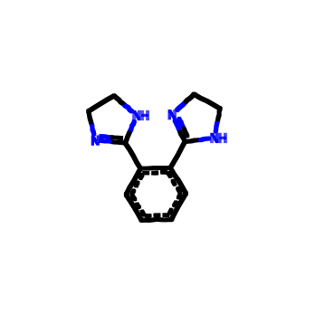 c1ccc(C2=NCCN2)c(C2=NCCN2)c1